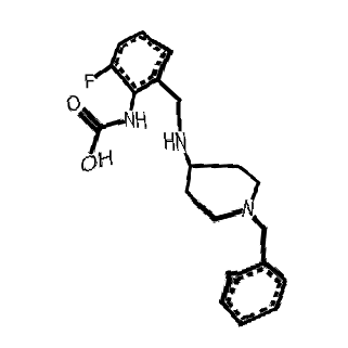 O=C(O)Nc1c(F)cccc1CNC1CCN(Cc2ccccc2)CC1